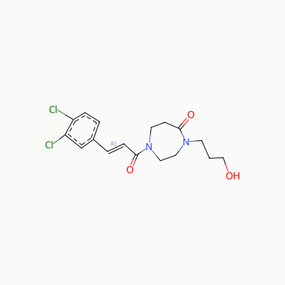 O=C(/C=C/c1ccc(Cl)c(Cl)c1)N1CCC(=O)N(CCCO)CC1